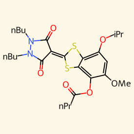 CCCCN1C(=O)C(=C2Sc3c(OC(C)C)cc(OC)c(OC(=O)CCC)c3S2)C(=O)N1CCCC